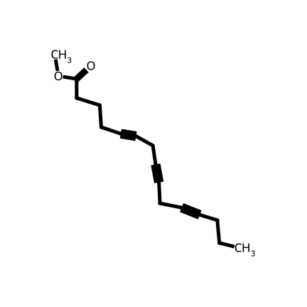 CCCC#CCC#CCC#CCCCC(=O)OC